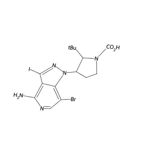 CC(C)(C)C1C(n2nc(I)c3c(N)ncc(Br)c32)CCN1C(=O)O